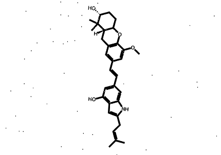 COc1cc(/C=C/c2cc(O)c3cc(CC=C(C)C)[nH]c3c2)cc2c1OC1CC[C@@H](O)C(C)(C)[C@H]1C2